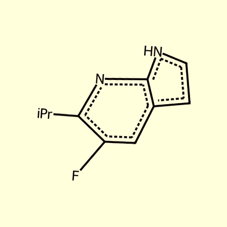 CC(C)c1nc2[nH]ccc2cc1F